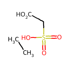 CC.O=C(O)CS(=O)(=O)O